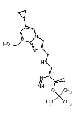 CC(C)(C)OC(=O)/C(=C/NCc1cn2cc(C3CC3)cc(CO)c2n1)N=N